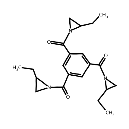 CCC1CN1C(=O)c1cc(C(=O)N2CC2CC)cc(C(=O)N2CC2CC)c1